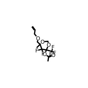 C=CCOCC1(C)OCOC(OC(C)=O)(C(F)(F)F)C1(F)F